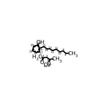 CC(=O)CC(C)=O.CCCCCCCCCc1ccccc1O.[Co]